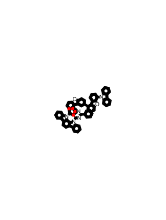 c1ccc(-c2nc(-c3cccc4oc5ccc(-c6cccc7oc8c(-n9c%10ccccc%10c%10ccccc%109)cccc8c67)cc5c34)nc(-n3c4ccccc4c4ccc5c6ccccc6n(-c6ccccc6)c5c43)n2)cc1